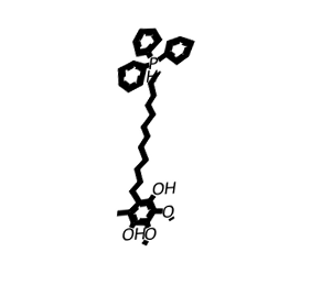 COc1c(O)c(C)c(CCCCCCCCCCCC[PH](c2ccccc2)(c2ccccc2)c2ccccc2)c(O)c1OC